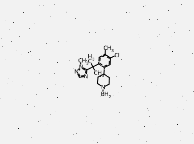 BN1CCC(c2cc(Cl)c(C)cc2C(C)(C)c2ncnn2C)CC1